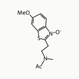 COc1ccc2c(c1)sc(CCN(C)C(C)=O)[n+]2[O-]